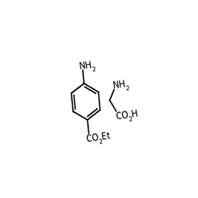 CCOC(=O)c1ccc(N)cc1.NCC(=O)O